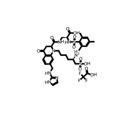 Cc1cc(C)c(S(=O)(=O)N[C@@H](CNC(=O)C2CC(=O)c3ccc(CNc4ncc[nH]4)cc3N2CCCC[C@@H](N)CS(=O)(=O)O)C(=O)O)c(C)c1.O=C(O)C(F)(F)F